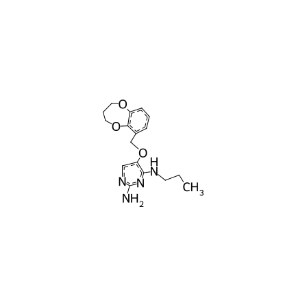 CCCNc1nc(N)ncc1OCc1cccc2c1OCCCO2